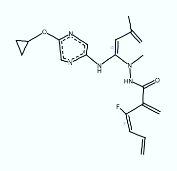 C=C/C=C(/F)C(=C)C(=O)NN(C)/C(=C\C(=C)C)Nc1cnc(OC2CC2)cn1